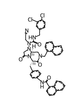 N#CCN(C(=O)NCc1ccc(Cl)c(Cl)c1)N1CC(=O)N2[C@@H](Cc3ccc(NC(=O)c4cccc5ccccc45)cc3)C(=O)N(Cc3cccc4ccccc34)C[C@@H]21